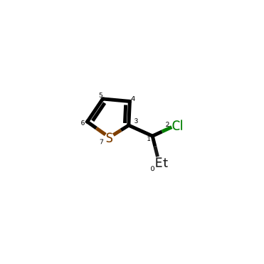 CCC(Cl)c1cccs1